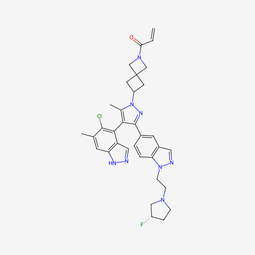 C=CC(=O)N1CC2(CC(n3nc(-c4ccc5c(cnn5CCN5CC[C@H](F)C5)c4)c(-c4c(Cl)c(C)cc5[nH]ncc45)c3C)C2)C1